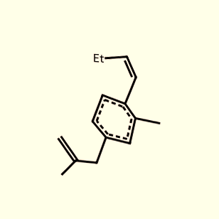 C=C(C)Cc1ccc(/C=C\CC)c(C)c1